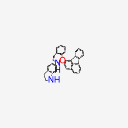 C1=Cc2ccccc2ON1.c1ccc2c(c1)-c1cccc3cccc-2c13.c1ccc2c(c1)CCN2